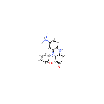 CN(C)c1ccc2nc3ccc(=O)c(O)c-3n(-c3ccccc3)c2c1